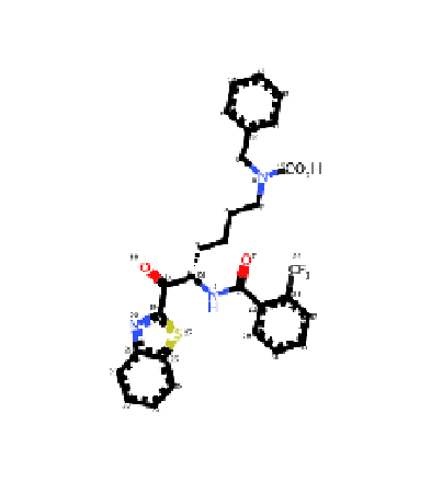 O=C(N[C@@H](CCCCN(Cc1ccccc1)C(=O)O)C(=O)c1nc2ccccc2s1)c1ccccc1C(F)(F)F